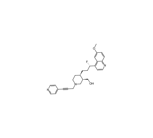 COc1ccc2nccc([C@@H](F)CC[C@@H]3CCN(CC#Cc4ccncc4)C[C@@H]3CO)c2c1